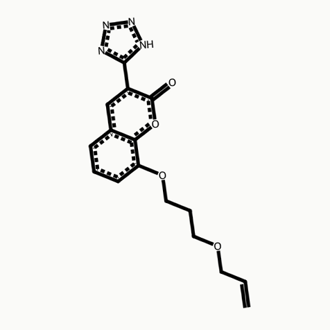 C=CCOCCCOc1cccc2cc(-c3nnn[nH]3)c(=O)oc12